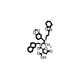 C[C@H]([C@H](C/C=C/c1nc2ccccc2o1)c1ccc2c(c1)OCO2)N(Cc1ccc2ccccc2c1)C(=O)[C@H]1OC(=O)C[C@@H]1C(=O)O